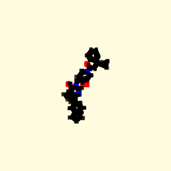 O=C(CC(c1ccccc1)C1CC1)N1CCC(O)(Cn2cnc3c(-c4ccc5c(c4)C[CH]C5)scc3c2=O)CC1